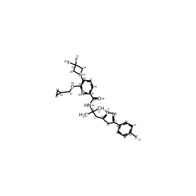 CC(C)(CC1=NN=C(c2ccc(F)cc2)C1)NC(=O)c1ccc(N2CC(F)(F)C2)c(OCC2CC2)n1